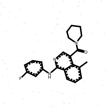 Cc1cccc2c(Nc3cccc(F)c3)ncc(C(=O)N3CCCCC3)c12